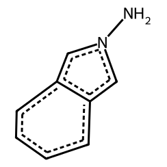 Nn1cc2ccccc2c1